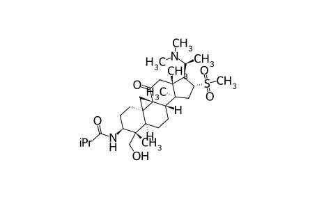 CC(C)C(=O)N[C@H]1CC[C@]23C[C@]24C(=O)C[C@]2(C)[C@@H]([C@H](C)N(C)C)[C@H](S(C)(=O)=O)C[C@@]2(C)[C@@H]4CC[C@H]3[C@]1(C)CO